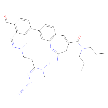 CCCN(CCC)C(=O)C1=Cc2ccc(-c3ccc(C=O)c(/C=N\N(C)CCC(=NN=[N+]=[N-])N(C)N)c3)cc2N=C(N)C1